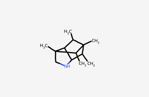 CC1C2NCC3(C)C2C(C)C1(C)C3C